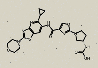 O=C(O)N[C@H]1CCN(c2nc(C(=O)Nc3cc4sc(N5CCOCC5)nc4nc3C3CC3)co2)C1